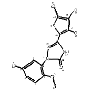 COc1ccc(Cl)cc1-n1nc(-c2sc(Cl)c(Cl)c2Cl)[nH]c1=O